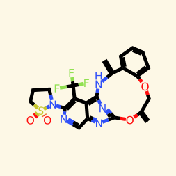 C=C1COc2ccccc2C(=C)Nc2nc(nc3cnc(N4CCCS4(=O)=O)c(C(F)(F)F)c23)O1